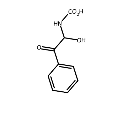 O=C(O)NC(O)C(=O)c1ccccc1